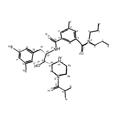 CCCN(CCC)C(=O)c1cc(C)cc(C(=O)N[C@@H](Cc2cc(F)cc(F)c2)C(O)[C@H]2CN(C(=O)C(C)C)CCN2)c1